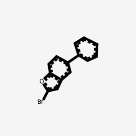 Brc1cc2cc(-c3ccccc3)ccc2o1